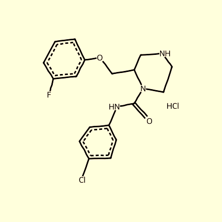 Cl.O=C(Nc1ccc(Cl)cc1)N1CCNCC1COc1cccc(F)c1